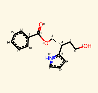 O=C(OC[C@H](CCO)c1ccc[nH]1)c1ccccc1